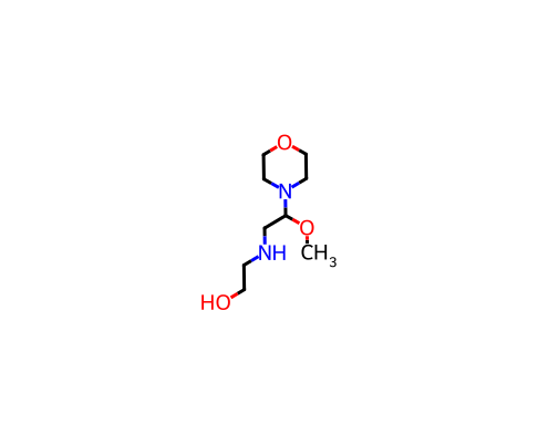 COC(CNCCO)N1CCOCC1